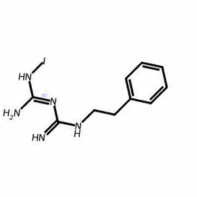 N=C(/N=C(\N)NI)NCCc1ccccc1